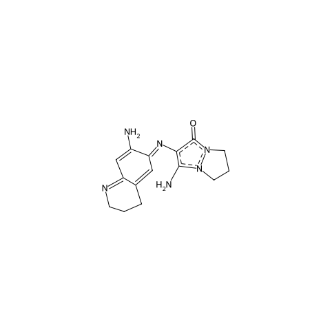 NC1=CC2=NCCCC2=CC1=Nc1c(N)n2n(c1=O)CCC2